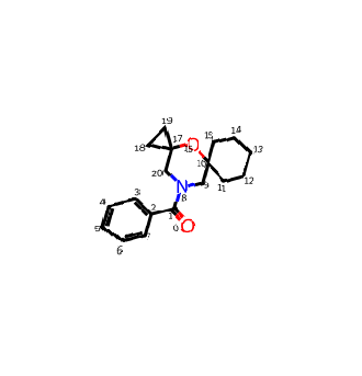 O=C(c1ccccc1)N1CC2(CCCCC2)OC2(CC2)C1